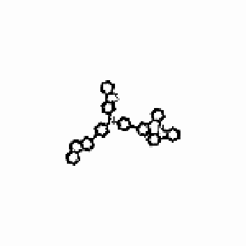 c1cc(-c2ccc(N(c3ccc(-c4ccc5c(ccc6ccccc65)c4)cc3)c3ccc4c(c3)sc3ccccc34)cc2)cc(-c2ccccc2-n2c3ccccc3c3ccccc32)c1